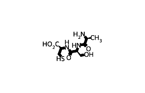 C[C@H](N)C(=O)N[C@@H](CO)C(=O)N[C@@H](CS)C(=O)O